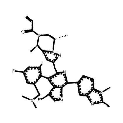 C=CC(=O)N1C[C@H](C)n2nc(-c3nc(-c4ccc5c(c4)nc(C)n5C)c4scc(F)c4c3-c3c(F)cc(F)cc3CN(C)C)cc2[C@H]1C